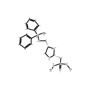 CCOP(=O)(C[C@H]1O[C@@H](CO[Si](c2ccccc2)(c2ccccc2)C(C)(C)C)CS1)OCC